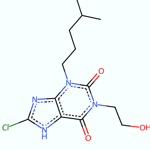 CC(C)CCCn1c(=O)n(CCO)c(=O)c2[nH]c(Cl)nc21